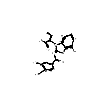 CCC(C(=O)O)n1c(=NC(=O)c2ccc(F)c(F)c2)sc2c(F)cccc21